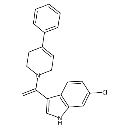 C=C(c1c[nH]c2cc(Cl)ccc12)N1CC=C(c2ccccc2)CC1